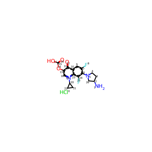 Cl.N[C@@H]1CCN(c2c(F)cc3c(=O)c(OC(=O)O)cn(C4CC4)c3c2F)C1